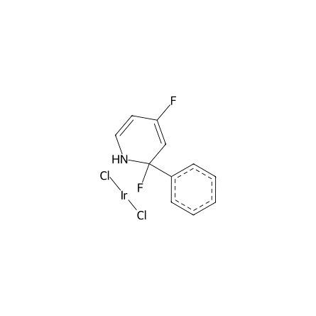 FC1=CC(F)(c2ccccc2)NC=C1.[Cl][Ir][Cl]